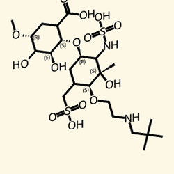 CO[C@@H]1CC(C(=O)O)[C@H](O[C@@H]2CC(CS(=O)(=O)O)[C@H](OCCNCC(C)(C)C)[C@@](C)(O)C2NS(=O)(=O)O)[C@@H](O)C1O